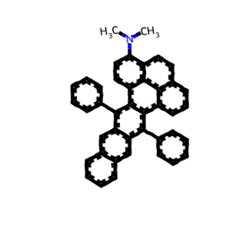 CN(C)c1ccc2c3c(-c4ccccc4)c4cc5ccccc5cc4c(-c4ccccc4)c3c3cccc4ccc1c2c43